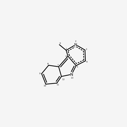 Cc1nccc2c1=C1CC=CC=C1N=2